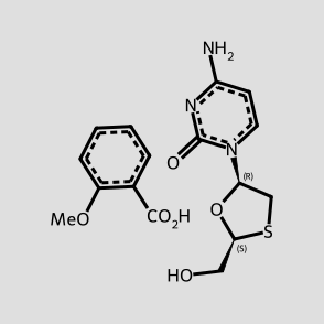 COc1ccccc1C(=O)O.Nc1ccn([C@H]2CS[C@@H](CO)O2)c(=O)n1